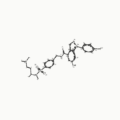 CC(CCN(C)C)N(C)S(=O)(=O)c1ccc(CNC(=O)c2cc(C#N)cc3c2cnn3-c2ccc(F)cc2)cc1